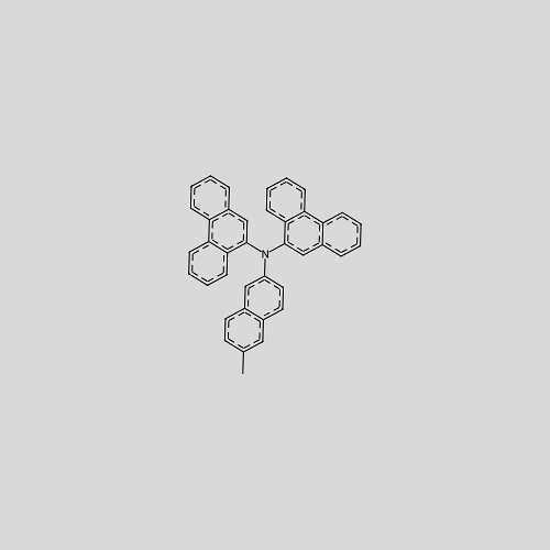 Cc1ccc2cc(N(c3cc4ccccc4c4ccccc34)c3cc4ccccc4c4ccccc34)ccc2c1